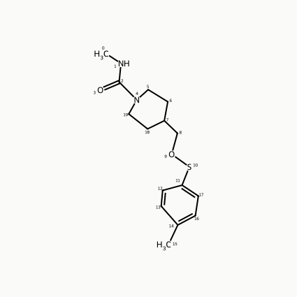 CNC(=O)N1CCC(COSc2ccc(C)cc2)CC1